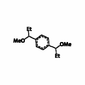 CCC(OC)c1ccc(C(CC)OC)cc1